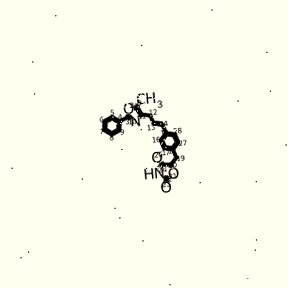 Cc1oc(-c2ccccc2)nc1CC=Cc1ccc(CC2OC(=O)NC2=O)cc1